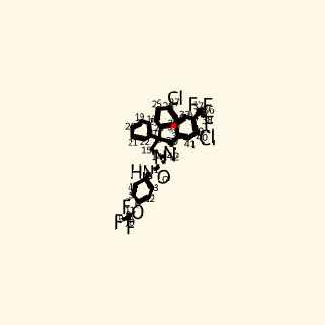 O=C(Nc1ccc(OC(F)(F)F)cc1)N1CC(c2ccccc2)(c2ccc(Cl)cc2)C(c2ccc(C(F)(F)F)c(Cl)c2)=N1